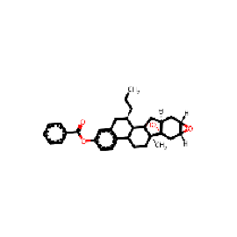 CCC[C@@H]1Cc2cc(OC(=O)c3ccccc3)ccc2C2CC[C@@]3(C)C(C[C@H]4C[C@@H]5O[C@@H]5C[C@]43O)C21